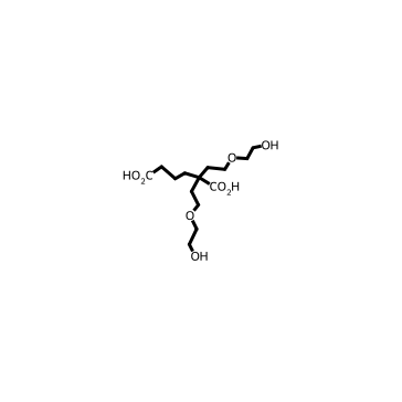 O=C(O)CCCC(CCOCCO)(CCOCCO)C(=O)O